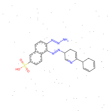 NN=Nc1ccc2cc(S(=O)(=O)O)ccc2c1/N=N/C1C=NC(C2C=CC=CC2)=CC1